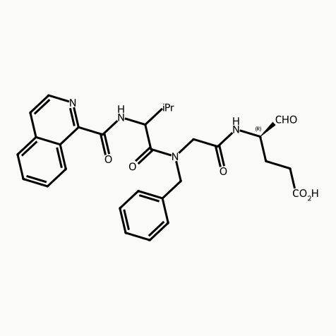 CC(C)C(NC(=O)c1nccc2ccccc12)C(=O)N(CC(=O)N[C@@H](C=O)CCC(=O)O)Cc1ccccc1